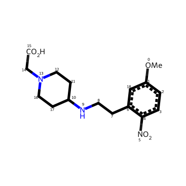 COc1ccc([N+](=O)[O-])c(CCNC2CCN(CC(=O)O)CC2)c1